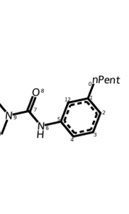 [CH2]CCCCc1cccc(NC(=O)N(C)C)c1